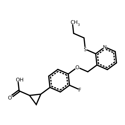 CCCSc1ncccc1COc1ccc(C2CC2C(=O)O)cc1F